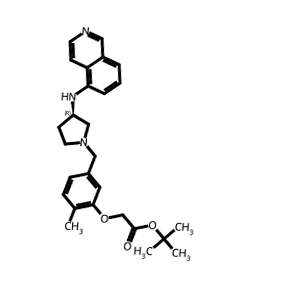 Cc1ccc(CN2CC[C@@H](Nc3cccc4cnccc34)C2)cc1OCC(=O)OC(C)(C)C